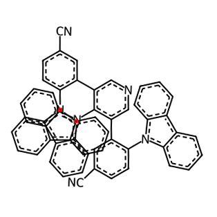 N#Cc1ccc(-n2c3ccccc3c3ccccc32)c(-c2cncc(-c3cc(C#N)ccc3-n3c4ccccc4c4ccccc43)c2-n2c3ccccc3c3ccccc32)c1